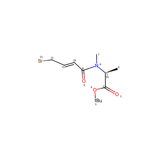 C[C@@H](C(=O)OC(C)(C)C)N(C)C(=O)C=CCBr